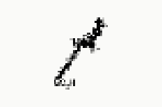 Cc1ncsc1-c1ccc(CC(=O)[C@@H]2C[C@@H](O)CN2C(=O)[C@@H](NC(=O)CCOCCOCCOCCOCCC(=O)O)C(C)(C)C)cc1